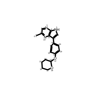 Ic1cnc2[nH]cc(-c3ccc(OC4CCCCO4)cc3)c2n1